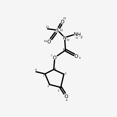 CC1CC(=O)CC1OC(=O)N(N)S(C)(=O)=O